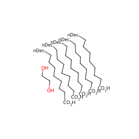 CCCCCCCCCCCCCCCCCC(=O)O.CCCCCCCCCCCCCCCCCC(=O)O.CCCCCCCCCCCCCCCCCC(=O)O.CCCCCCCCCCCCCCCCCC(=O)O.CCCCCCCCCCCCCCCCCC(=O)O.OCCO